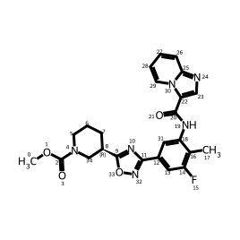 COC(=O)N1CCC[C@@H](c2nc(-c3cc(F)c(C)c(NC(=O)c4cnc5ccccn45)c3)no2)C1